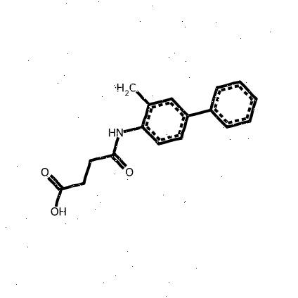 [CH2]c1cc(-c2ccccc2)ccc1NC(=O)CCC(=O)O